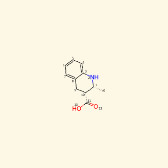 C[C@H]1Nc2ccccc2C[C@H]1C(=O)O